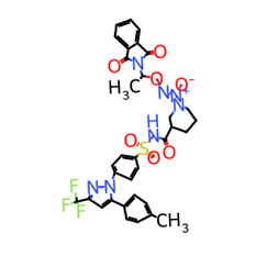 Cc1ccc(-c2cc(C(F)(F)F)nn2-c2ccc(S(=O)(=O)NC(=O)C3CCCN([N+]([O-])=NOC(C)N4C(=O)c5ccccc5C4=O)C3)cc2)cc1